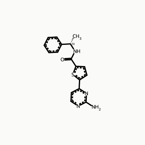 C[C@H](NC(=O)c1ccc(-c2ccnc(N)n2)s1)c1ccccc1